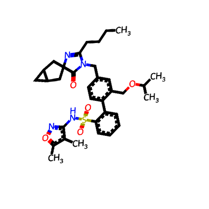 CCCCC1=NC2(CC3CC3C2)C(=O)N1Cc1ccc(-c2ccccc2S(=O)(=O)Nc2noc(C)c2C)c(COC(C)C)c1